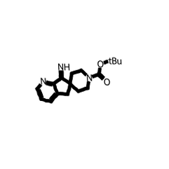 CC(C)(C)OC(=O)N1CCC2(CC1)Cc1cccnc1C2=N